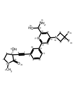 CN1CC[C@@](O)(C#Cc2cccc(-c3cc(N4CC(F)(F)C4)cc(C(N)O)n3)c2)C1=O